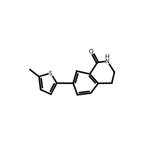 Cc1ccc(-c2ccc3c(c2)C(=O)NCC3)s1